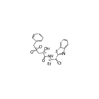 CC[C@H](NC(=O)[C@H](O)CS(=O)(=O)Cc1ccccc1)C(=O)c1nc2ccccc2s1